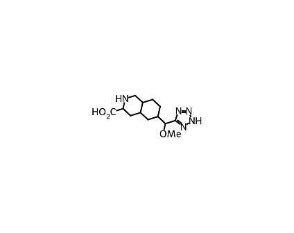 COC(c1nn[nH]n1)C1CCC2CNC(C(=O)O)CC2C1